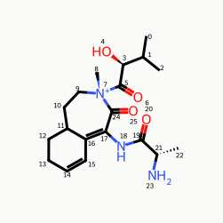 CC(C)[C@H](O)C(=O)[N@@+]1(C)CCC2CCC=CC2=C(NC(=O)[C@H](C)N)C1=O